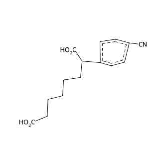 N#Cc1ccc(C(CCCCCC(=O)O)C(=O)O)cc1